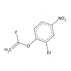 C=C(F)Oc1ccc([N+](=O)[O-])cc1CC